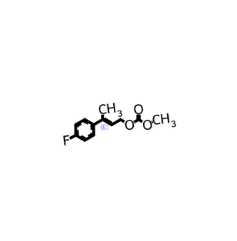 COC(=O)OC/C=C(\C)c1ccc(F)cc1